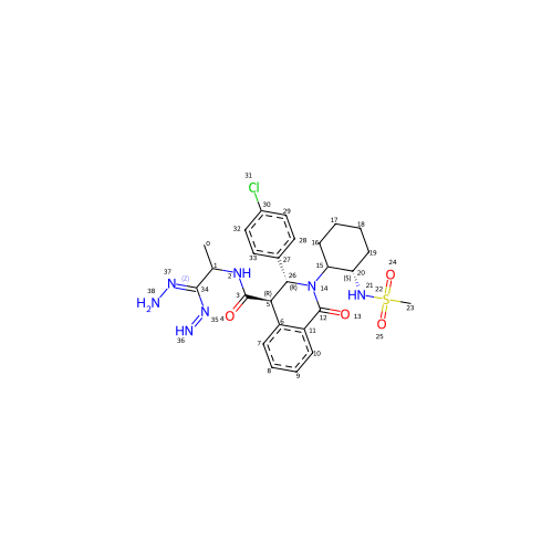 CC(NC(=O)[C@@H]1c2ccccc2C(=O)N(C2CCCC[C@@H]2NS(C)(=O)=O)[C@H]1c1ccc(Cl)cc1)/C(N=N)=N/N